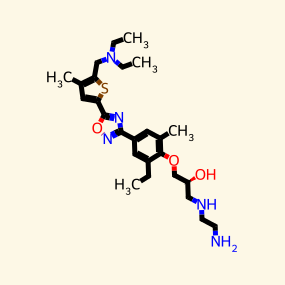 CCc1cc(-c2noc(-c3cc(C)c(CN(CC)CC)s3)n2)cc(C)c1OC[C@@H](O)CNCCN